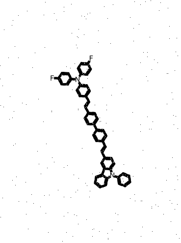 Fc1ccc(N(c2ccc(F)cc2)c2ccc(/C=C/c3ccc(-c4ccc(/C=C/c5ccc6c(c5)c5ccccc5n6-c5ccccc5)cc4)cc3)cc2)cc1